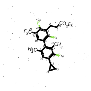 CCOC(=O)CCc1c(F)c(-c2c(C)cc(C3CC3)c(F)c2C)cc(C(F)(F)F)c1F